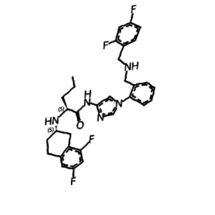 CCC[C@H](N[C@H]1CCc2cc(F)cc(F)c2C1)C(=O)Nc1cn(-c2ccccc2CNCc2ccc(F)cc2F)cn1